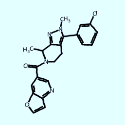 CC1c2nn(C)c(-c3cccc(Cl)c3)c2CCN1C(=O)c1cnc2ccoc2c1